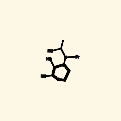 CC(C)N(c1cccc(O)c1O)C(C)O